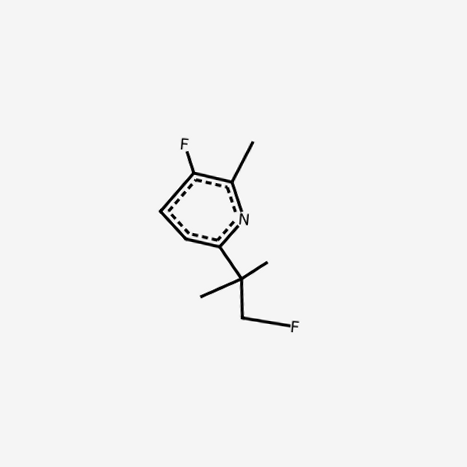 Cc1nc(C(C)(C)CF)ccc1F